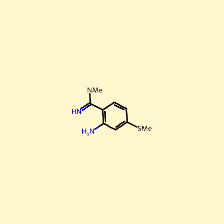 CNC(=N)c1ccc(SC)cc1N